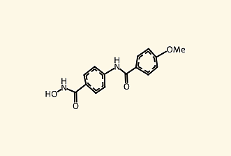 COc1ccc(C(=O)Nc2ccc(C(=O)NO)cc2)cc1